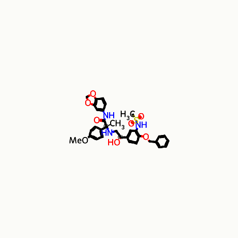 COc1ccc([C@](C)(NC[C@H](O)c2ccc(OCc3ccccc3)c(NS(C)(=O)=O)c2)C(=O)Nc2ccc3c(c2)OCO3)cc1